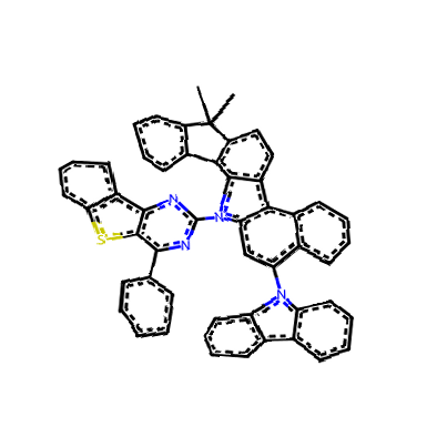 CC1(C)c2ccccc2-c2c1ccc1c3c4ccccc4c(-n4c5ccccc5c5ccccc54)cc3n(-c3nc(-c4ccccc4)c4sc5ccccc5c4n3)c21